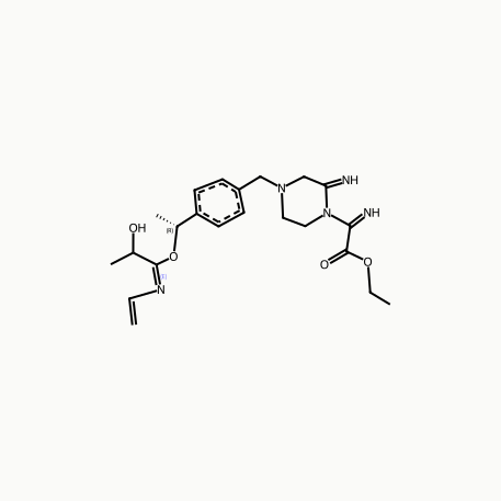 C=C/N=C(/O[C@H](C)c1ccc(CN2CCN(C(=N)C(=O)OCC)C(=N)C2)cc1)C(C)O